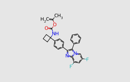 C=C(C)OC(=O)NC1(c2ccc(-c3nc4c(F)cc(F)cn4c3-c3ccccc3)cc2)CCC1